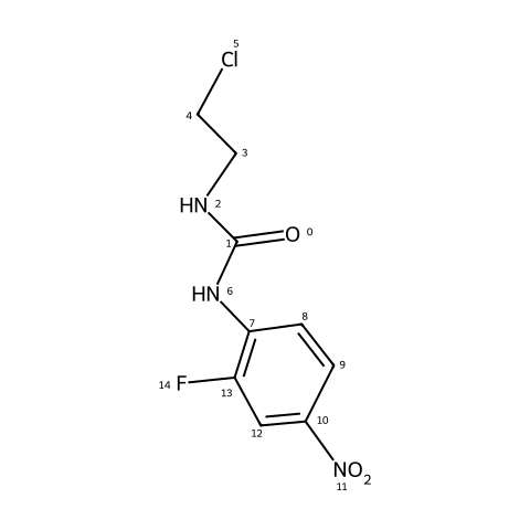 O=C(NCCCl)Nc1ccc([N+](=O)[O-])cc1F